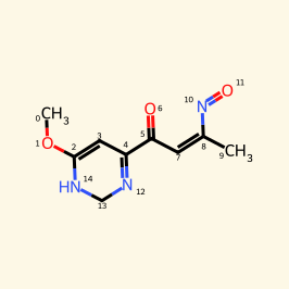 COC1=CC(C(=O)/C=C(/C)N=O)=NCN1